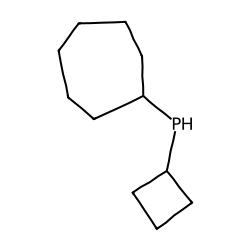 C1CCCC(PC2CCC2)CC1